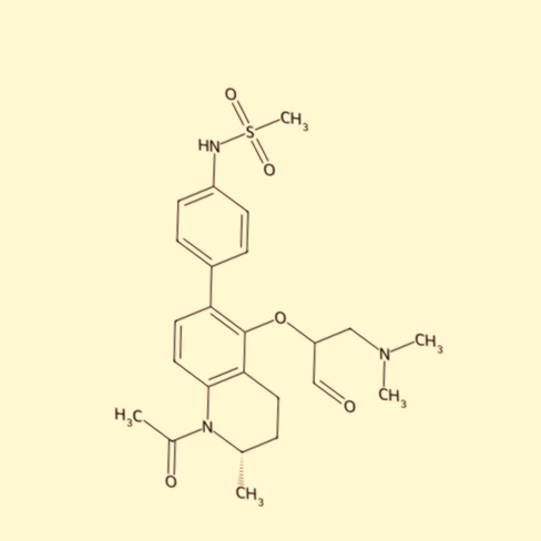 CC(=O)N1c2ccc(-c3ccc(NS(C)(=O)=O)cc3)c(OC(C=O)CN(C)C)c2CC[C@@H]1C